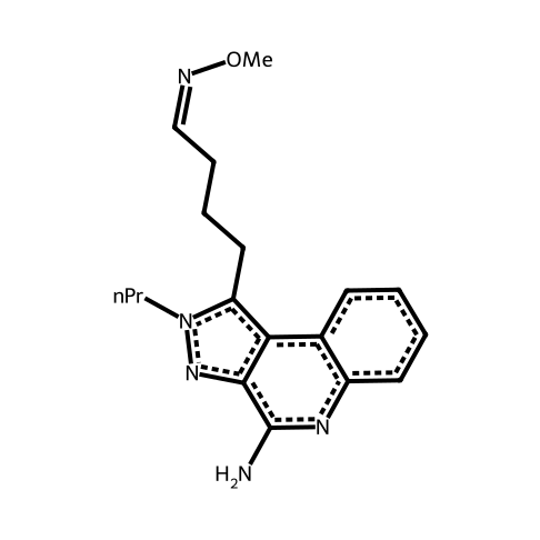 CCCn1nc2c(N)nc3ccccc3c2c1CCC/C=N\OC